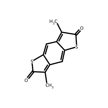 CC1=c2cc3c(cc2SC1=O)=C(C)C(=O)S3